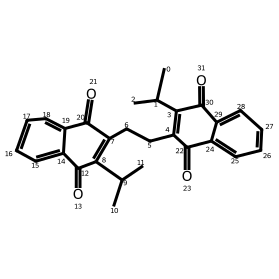 CC(C)C1=C(CCC2=C(C(C)C)C(=O)c3ccccc3C2=O)C(=O)c2ccccc2C1=O